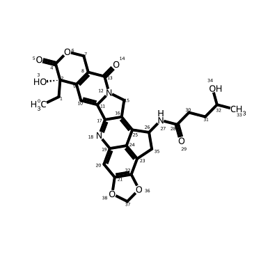 CC[C@@]1(O)C(=O)OCc2c1cc1n(c2=O)Cc2c-1nc1cc3c(c4c1c2C(NC(=O)CCC(C)O)C4)OCO3